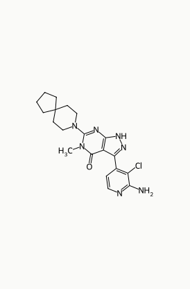 Cn1c(N2CCC3(CCCC3)CC2)nc2[nH]nc(-c3ccnc(N)c3Cl)c2c1=O